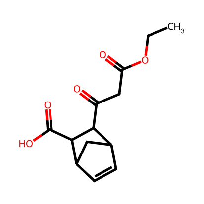 CCOC(=O)CC(=O)C1C2C=CC(C2)C1C(=O)O